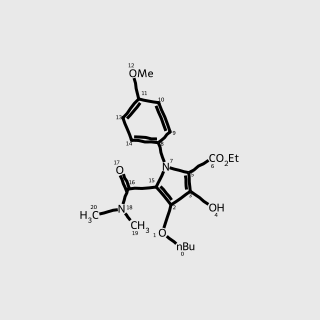 CCCCOc1c(O)c(C(=O)OCC)n(-c2ccc(OC)cc2)c1C(=O)N(C)C